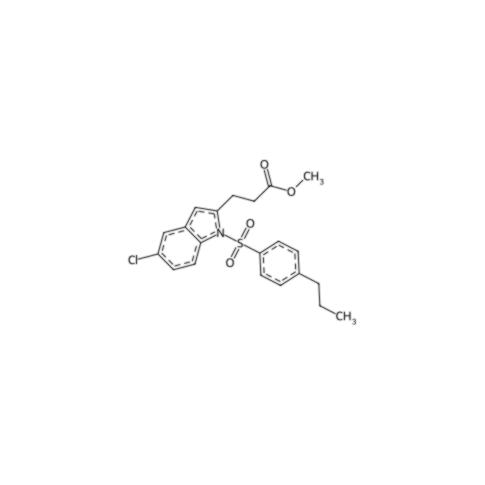 CCCc1ccc(S(=O)(=O)n2c(CCC(=O)OC)cc3cc(Cl)ccc32)cc1